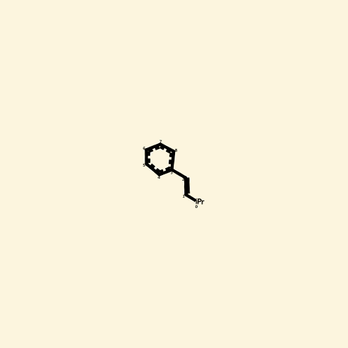 CC(C)C=Cc1[c]cccc1